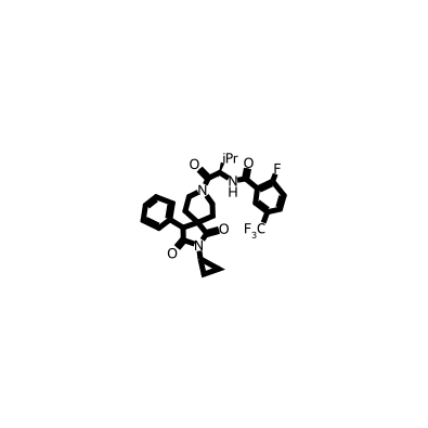 CC(C)[C@@H](NC(=O)c1cc(C(F)(F)F)ccc1F)C(=O)N1CCC2(CC1)C(=O)N(C1CC1)C(=O)C2c1ccccc1